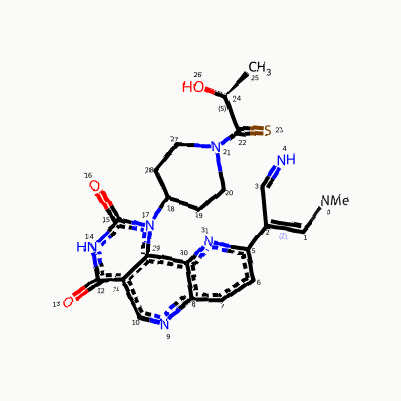 CN/C=C(\C=N)c1ccc2ncc3c(=O)[nH]c(=O)n(C4CCN(C(=S)[C@H](C)O)CC4)c3c2n1